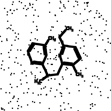 CCc1ccc(C)c(CC(C)c2cc(C)ccn2)n1